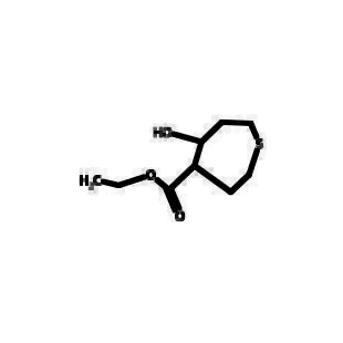 CCOC(=O)C1CCSCCC1O